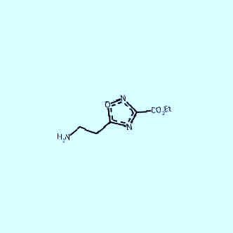 CCOC(=O)c1noc(CCN)n1